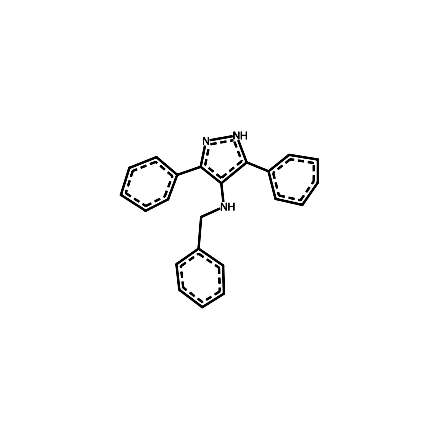 c1ccc(CNc2c(-c3ccccc3)n[nH]c2-c2ccccc2)cc1